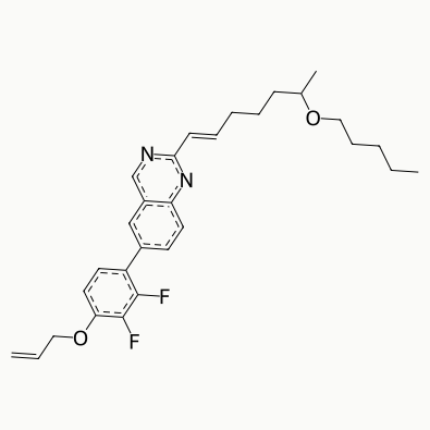 C=CCOc1ccc(-c2ccc3nc(C=CCCCC(C)OCCCCC)ncc3c2)c(F)c1F